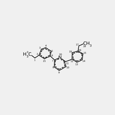 CCc1cccc(-c2cccc(-c3cccc(CC)c3)n2)c1